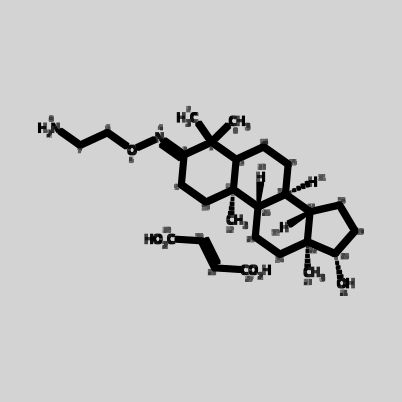 CC1(C)/C(=N/OCCN)CC[C@@]2(C)C1CC[C@H]1[C@@H]3CC[C@H](O)[C@@]3(C)CC[C@@H]12.O=C(O)/C=C/C(=O)O